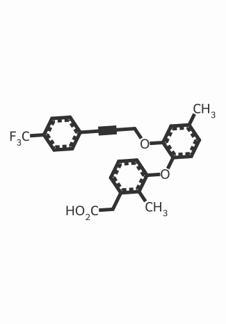 Cc1ccc(Oc2cccc(CC(=O)O)c2C)c(OCC#Cc2ccc(C(F)(F)F)cc2)c1